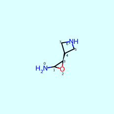 NC1O[C@@H]1C1CNC1